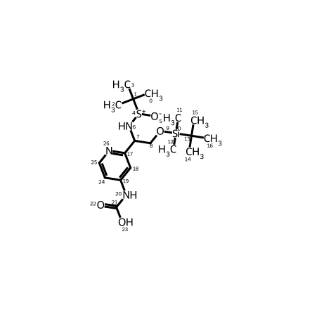 CC(C)(C)[S+]([O-])NC(CO[Si](C)(C)C(C)(C)C)c1cc(NC(=O)O)ccn1